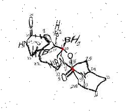 BC(B)(O)C(B)(B)OC(=O)N1C2CCC1CC(N1CCC3(CC1)CNC(=O)C3)C2